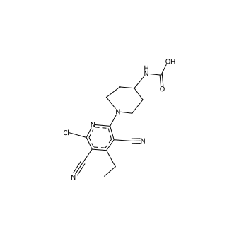 CCc1c(C#N)c(Cl)nc(N2CCC(NC(=O)O)CC2)c1C#N